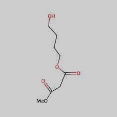 COC(=O)CC(=O)OCCCCO